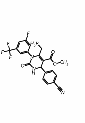 BCC1=C(C(=O)OC)C(c2ccc(C#N)cc2)NC(=O)N1c1cc(F)cc(C(F)(F)F)c1